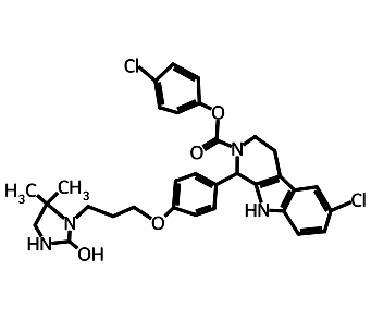 CC1(C)CNC(O)N1CCCOc1ccc(C2c3[nH]c4ccc(Cl)cc4c3CCN2C(=O)Oc2ccc(Cl)cc2)cc1